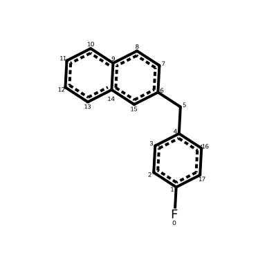 Fc1c[c]c(Cc2ccc3ccccc3c2)[c]c1